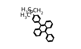 C=P(C)(C)c1ccc(-c2c3ccccc3c(-c3ccccc3)c3ccccc23)cc1